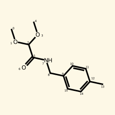 COC(OC)C(=O)NCc1ccc(C)cc1